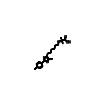 Cc1ccc(-c2nc(CCCCCCOC(C)(C)C(=O)O)c(C)o2)cc1